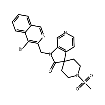 CS(=O)(=O)N1CCC2(CC1)C(=O)N(Cc1ncc3ccccc3c1Br)c1cnccc12